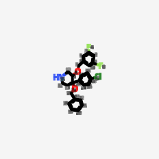 Fc1cc(F)cc(COC2CNCCC2(OCc2ccccc2)c2ccc(Cl)cc2)c1